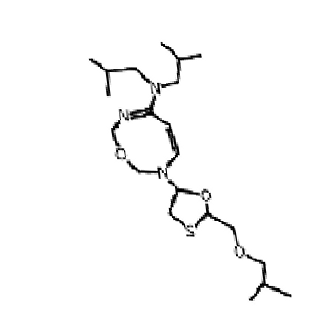 CC(C)COCC1O[C@H](N2/C=C\C(N(CC(C)C)CC(C)C)=N/COC2)CS1